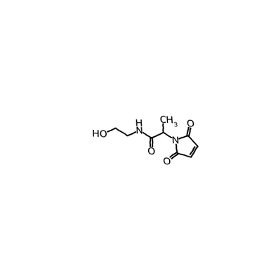 CC(C(=O)NCCO)N1C(=O)C=CC1=O